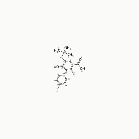 CC(C)(N)Cn1cc(C(=O)O)c(=O)n(-c2ccc(F)cc2)c1=O